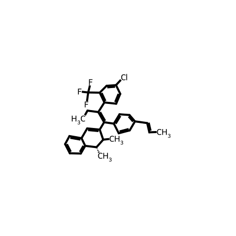 C/C=C/c1ccc(/C(C2=Cc3ccccc3[C@@H](C)C2C)=C(/CC)c2ccc(Cl)cc2C(F)(F)F)cc1